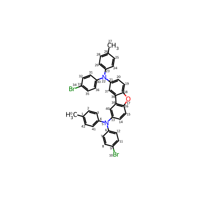 Cc1ccc(N(c2ccc(Br)cc2)c2ccc3oc4ccc(N(c5ccc(C)cc5)c5ccc(Br)cc5)cc4c3c2)cc1